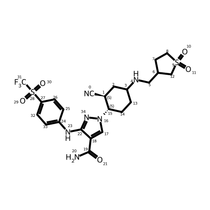 N#C[C@H]1CC(NCC2CCS(=O)(=O)C2)CC[C@@H]1n1cc(C(N)=O)c(Nc2ccc(S(=O)(=O)C(F)(F)F)cc2)n1